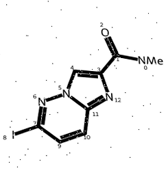 CNC(=O)c1cn2nc(I)ccc2n1